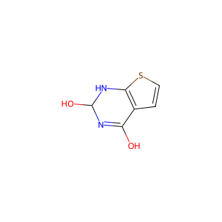 OC1=NC(O)Nc2sccc21